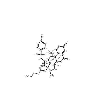 CCCOC(=O)O[C@]1(C(=O)COS(=O)(=O)c2ccc(Cl)cc2)[C@H](C)C[C@H]2[C@@H]3C[C@H](F)C4=CC(=O)C=C[C@]4(C)[C@@]3(F)[C@@H](O)C[C@@]21C